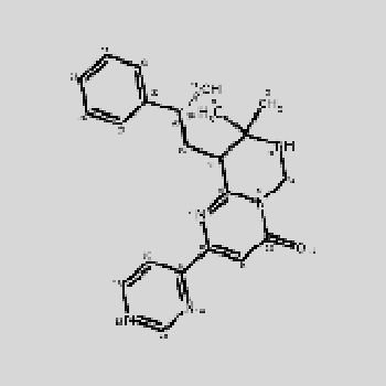 CC1(C)NCn2c(nc(-c3ccncn3)cc2=O)C1C[C@@H](O)c1ccccc1